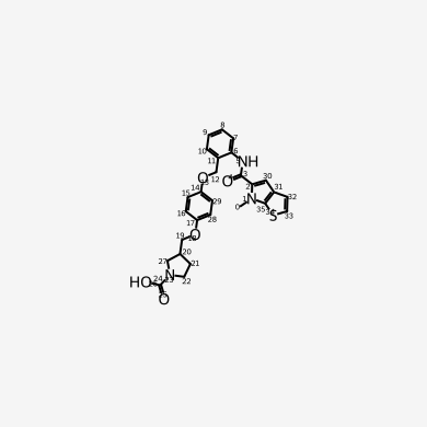 Cn1c(C(=O)Nc2ccccc2COc2ccc(OCC3CCN(C(=O)O)C3)cc2)cc2ccsc21